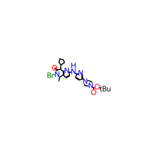 CC1c2ccc(Nc3ccc(N4CCN(C(=O)OC(C)(C)C)CC4)cn3)nc2C(C2CCCC2)C(=O)N1Br